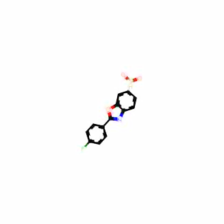 O=[SH](=O)c1ccc2nc(-c3ccc(F)cc3)oc2c1